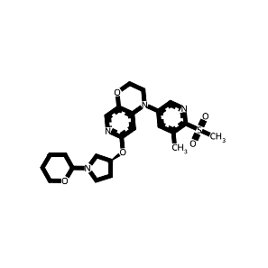 Cc1cc(N2CCOc3cnc(O[C@H]4CCN(C5C[CH]CCO5)C4)cc32)cnc1S(C)(=O)=O